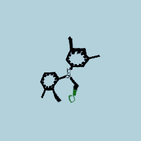 Cc1cc(C)cc([SiH](CCl)c2cccc(C)c2C)c1